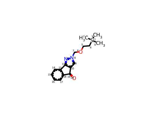 C[Si](C)(C)CCOCn1cc2c(n1)-c1ccccc1C2=O